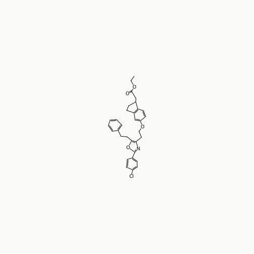 CCOC(=O)CC1CCc2cc(OCCc3nc(-c4ccc(Cl)cc4)oc3CCc3ccccc3)ccc21